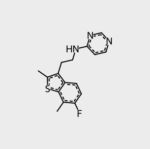 Cc1sc2c(C)c(F)ccc2c1CCNc1ccncn1